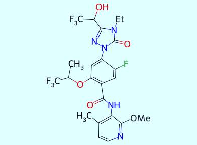 CCn1c(C(O)C(F)(F)F)nn(-c2cc(OC(C)C(F)(F)F)c(C(=O)Nc3c(C)ccnc3OC)cc2F)c1=O